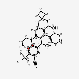 N#Cc1cc([C@H](O)c2c(C3CCOCC3)nc3c(c2C2=CCOCC2)C(O)CC2(CCC2)C3)ccc1C(F)(F)F